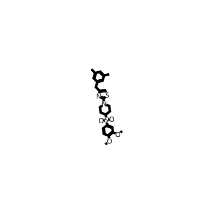 COc1ccc(S(=O)(=O)C2CCN(c3nc(Cc4cc(C)cc(C)c4)cs3)CC2)cc1OC